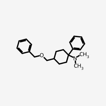 CN(C)C1(c2ccccc2)CCC(COCc2ccccc2)CC1